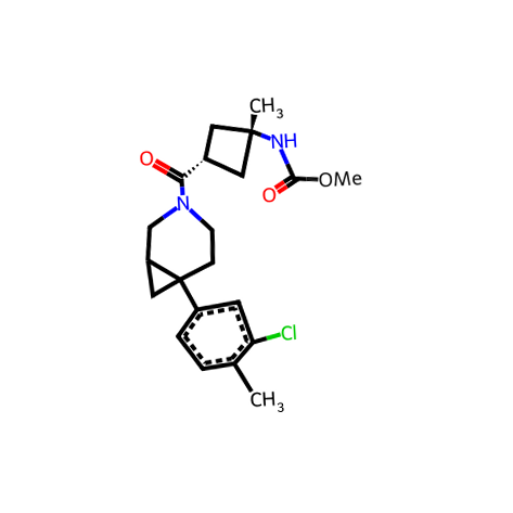 COC(=O)N[C@]1(C)C[C@H](C(=O)N2CCC3(c4ccc(C)c(Cl)c4)CC3C2)C1